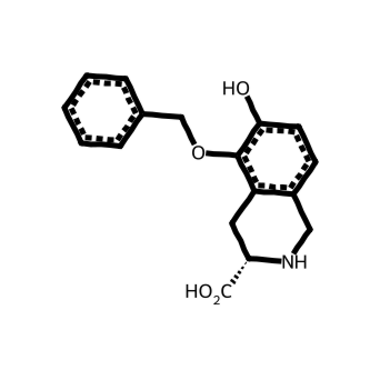 O=C(O)[C@@H]1Cc2c(ccc(O)c2OCc2ccccc2)CN1